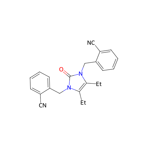 CCc1c(CC)n(Cc2ccccc2C#N)c(=O)n1Cc1ccccc1C#N